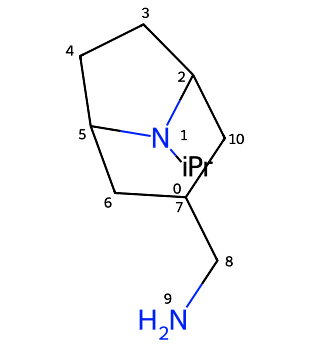 CC(C)N1C2CCC1CC(CN)C2